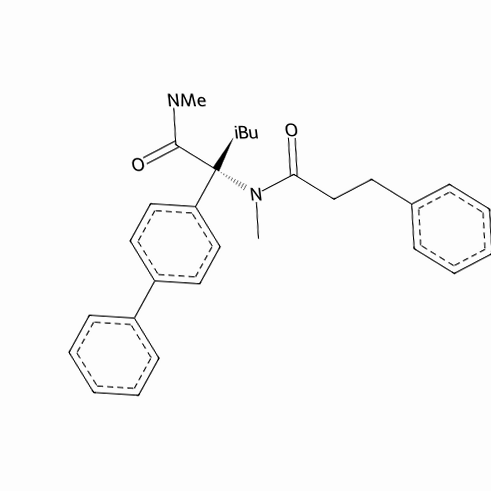 CC[C@H](C)[C@](C(=O)NC)(c1ccc(-c2ccccc2)cc1)N(C)C(=O)CCc1ccccc1